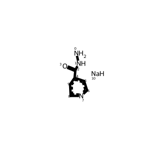 NNC(=O)c1ccncc1.[NaH]